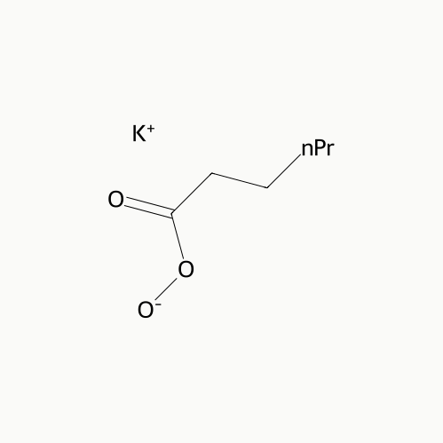 CCCCCC(=O)O[O-].[K+]